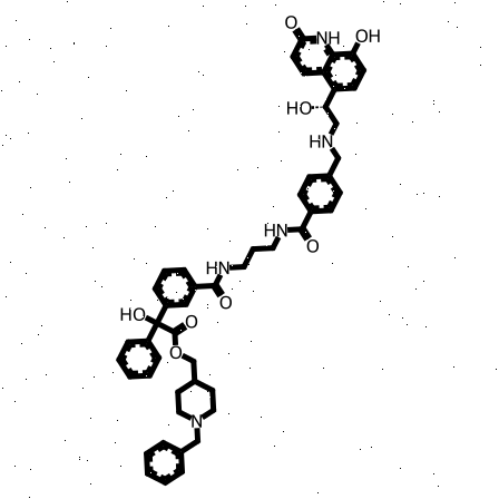 O=C(NCCCNC(=O)c1cccc(C(O)(C(=O)OCC2CCN(Cc3ccccc3)CC2)c2ccccc2)c1)c1ccc(CNC[C@H](O)c2ccc(O)c3[nH]c(=O)ccc23)cc1